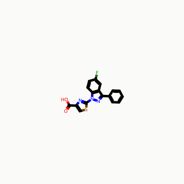 O=C(O)c1csc(-n2nc(-c3ccccc3)c3cc(F)ccc32)n1